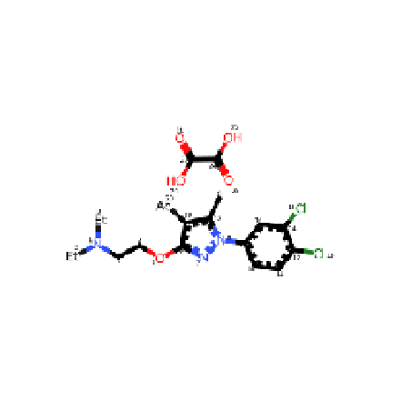 CCN(CC)CCOc1nn(-c2ccc(Cl)c(Cl)c2)c(C)c1C(C)=O.O=C(O)C(=O)O